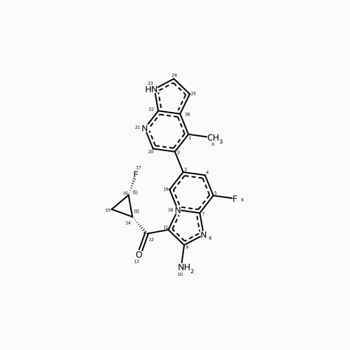 Cc1c(-c2cc(F)c3nc(N)c(C(=O)[C@@H]4C[C@@H]4F)n3c2)cnc2[nH]ccc12